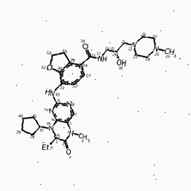 CC[C@@H]1C(=O)N(C)c2cnc(Nc3ccc(C(=O)NC[C@H](O)CN4CCN(C)CC4)c4c3OCC4)nc2N1C1CCCC1